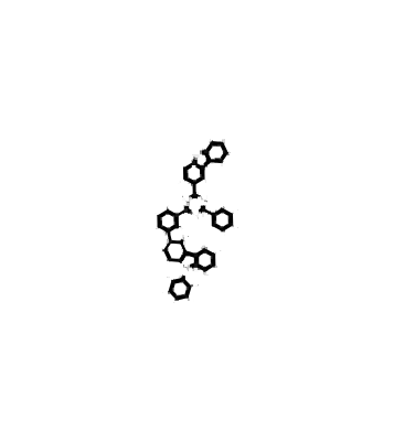 C1=CC2c3cccc(-c4nc(-c5ccccc5)nc(-c5ccc6oc7ccccc7c6c5)n4)c3OC2c2c1n(-c1ccccc1)c1ccccc21